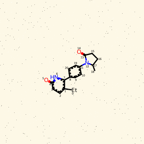 CCc1ccc(=O)[nH]c1-c1ccc(N2C(=O)CCC2C)cc1